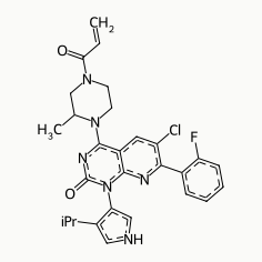 C=CC(=O)N1CCN(c2nc(=O)n(-c3c[nH]cc3C(C)C)c3nc(-c4ccccc4F)c(Cl)cc23)C(C)C1